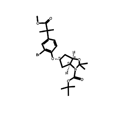 COC(=O)C(C)(C)c1ccc(O[C@@H]2C[C@H]3OC(C)(C)N(C(=O)OC(C)(C)C)[C@H]3C2)c(Br)c1